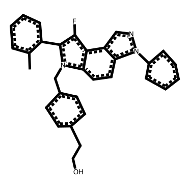 Cc1ccccc1-c1c(F)c2c3cnn(-c4ccccc4)c3ccc2n1Cc1ccc(CCO)cc1